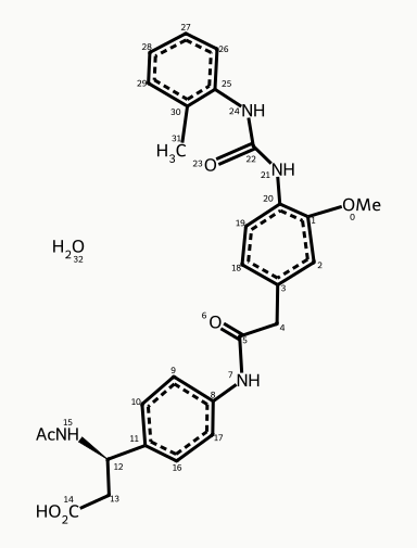 COc1cc(CC(=O)Nc2ccc([C@@H](CC(=O)O)NC(C)=O)cc2)ccc1NC(=O)Nc1ccccc1C.O